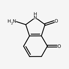 NC1NC(=O)C2=C1C=CCC2=O